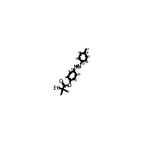 CCC(C)(C)C(=O)Oc1ccc(N=Nc2ccc(C)cc2)cc1